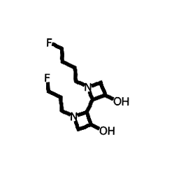 OC1CN(CCCF)C1C1C(O)CN1CCCCF